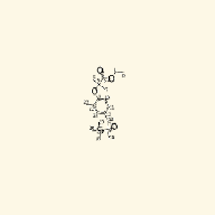 CCOC(=O)C(C)(C)Oc1ccc(C2OC2(C)[Si](C)(C)C)cc1C